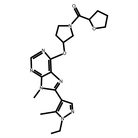 CCn1ncc(-c2nc3c(OC4CCN(C(=O)C5CCCO5)C4)ncnc3n2C)c1C